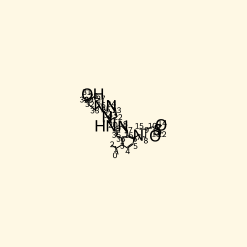 CC(C)c1ccc(N2CC(CS(C)(=O)=O)C2)c2cnc(Nc3ccnc(N4CCC(C)(O)CC4)n3)cc12